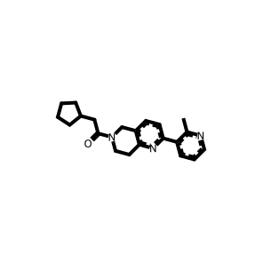 Cc1ncccc1-c1ccc2c(n1)CCN(C(=O)CC1CCCC1)C2